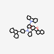 c1ccc(N(c2ccc(-c3cc4ccccc4c4ccccc34)cc2)c2ccc(-n3c4ccccc4c4ccccc43)cc2)c(-c2cccc3oc4c5ccccc5ccc4c23)c1